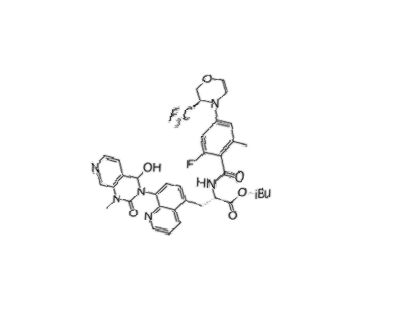 CC[C@@H](C)OC(=O)[C@H](Cc1ccc(N2C(=O)N(C)c3cnccc3C2O)c2ncccc12)NC(=O)c1c(C)cc(N2CCOC[C@@H]2C(F)(F)F)cc1F